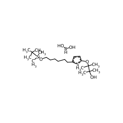 CC(C)(O)C(C)(C)Oc1ccc(CCCCCCO[Si](C)(C)C(C)(C)C)s1.OBO